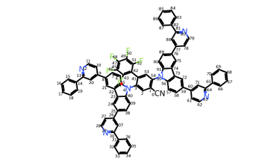 N#Cc1cc(-n2c3ccc(-c4ccnc(-c5ccccc5)c4)cc3c3cc(-c4ccnc(-c5ccccc5)c4)ccc32)c(-c2c(F)c(F)c(F)c(F)c2F)cc1-n1c2ccc(-c3ccnc(-c4ccccc4)c3)cc2c2cc(-c3ccnc(-c4ccccc4)c3)ccc21